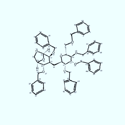 c1ccc(COC[C@H]2O[C@H](C[C@@H]3[C@H](OCc4ccccc4)[C@@H]4OC[C@@H](O4)[C@H]3OCc3ccccc3)[C@@H](OCc3ccccc3)[C@@H](OCc3ccccc3)[C@@H]2OCc2ccccc2)cc1